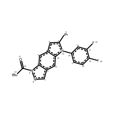 CC(C)c1cc2cc3c(cnn3C(=O)C(C)(C)C)cc2n1-c1ccc(F)c(F)c1